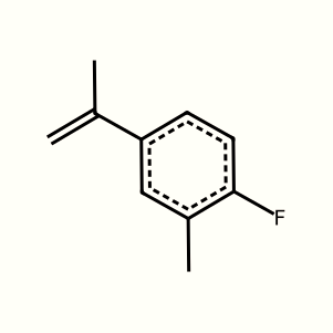 C=C(C)c1ccc(F)c(C)c1